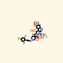 COc1ccc2ncc(N(C)C)c([C@@H](O)CCC3(CC(=O)O)CCN(CC#Cc4c(F)cc(F)cc4F)CC3)c2c1